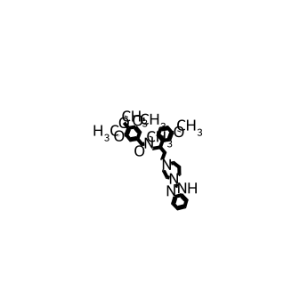 COc1cccc(C(CCN2CCCN(c3nc4ccccc4[nH]3)CC2)CN(C)C(=O)c2cc(OC)c(OC)c(OC)c2)c1